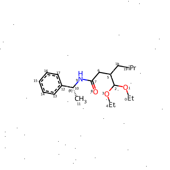 CCOC(OCC)C(CC(=O)N[C@H](C)c1ccccc1)CC(C)C